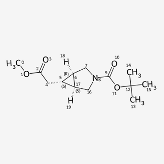 COC(=O)C[C@@H]1[C@H]2CN(C(=O)OC(C)(C)C)C[C@@H]12